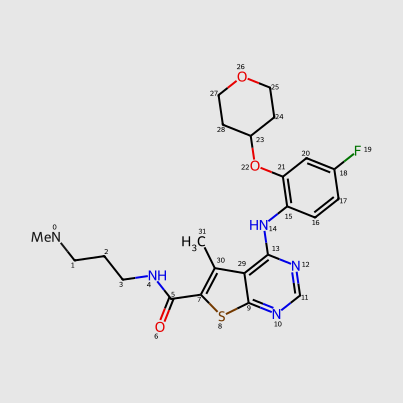 CNCCCNC(=O)c1sc2ncnc(Nc3ccc(F)cc3OC3CCOCC3)c2c1C